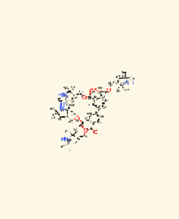 CC1(C)CC(COC(=O)c2ccc(-c3ccc(C(=O)OCC4CC(C)(C)NC4(C)C)c(C(=O)OCC4CC(C)(C)NC4(C)C)c3)cc2C(=O)OCC2CC(C)(C)NC2(C)C)C(C)(C)N1